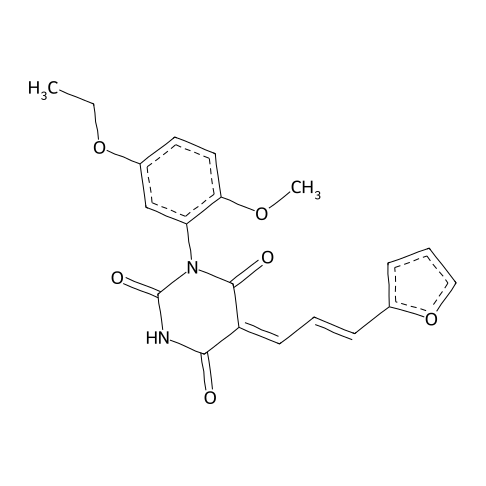 CCOc1ccc(OC)c(N2C(=O)NC(=O)C(=CC=Cc3ccco3)C2=O)c1